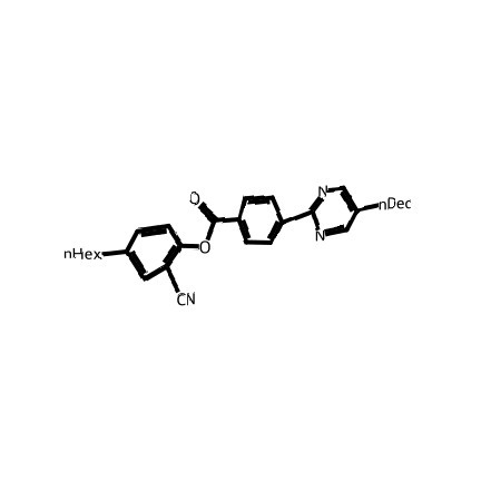 CCCCCCCCCCc1cnc(-c2ccc(C(=O)Oc3ccc(CCCCCC)cc3C#N)cc2)nc1